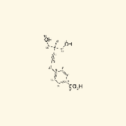 CC(C#CCc1ccc(C(=O)O)cc1)(CO)CO